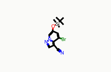 CC(C)(C)[Si](C)(C)Oc1cc(Br)c2c(C#N)cnn2c1